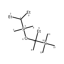 CCC(CC)[Si](C)(C)OC(C)(CC)[Si](C)(C)C